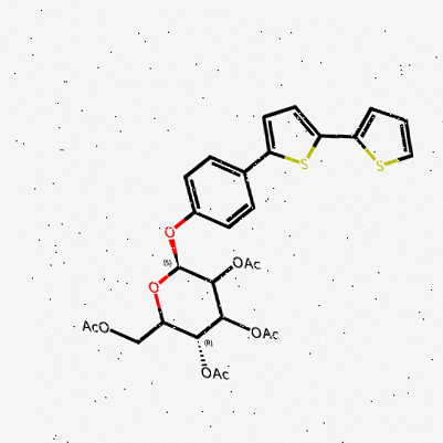 CC(=O)OCC1O[C@@H](Oc2ccc(-c3ccc(-c4cccs4)s3)cc2)C(OC(C)=O)C(OC(C)=O)[C@@H]1OC(C)=O